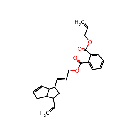 C=CCOC(=O)c1ccccc1C(=O)OCC=CC1CC(C=C)C2CC=CC12